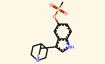 CS(=O)(=O)Oc1ccc2[nH]cc(C3CN4CCC3CC4)c2c1